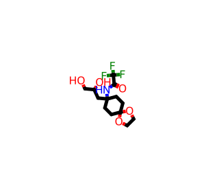 O=C(NC1(CC(O)CO)CCC2(CC1)OCCO2)C(F)(F)F